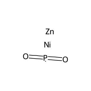 O=[P]=O.[Ni].[Zn]